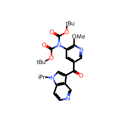 COc1ncc(C(=O)c2cn(C(C)C)c3ccncc23)cc1N(C(=O)OC(C)(C)C)C(=O)OC(C)(C)C